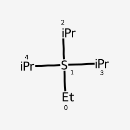 CCS(C(C)C)(C(C)C)C(C)C